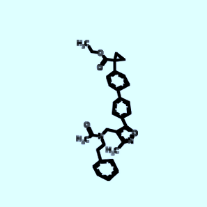 CCOC(=O)C1(c2ccc(-c3ccc(-c4onc(C)c4CN(CCc4ccccc4)C(C)=O)cc3)cc2)CC1